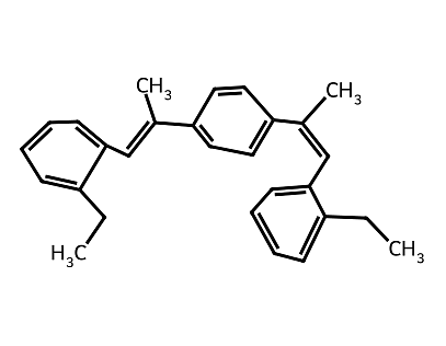 CCc1ccccc1C=C(C)c1ccc(C(C)=Cc2ccccc2CC)cc1